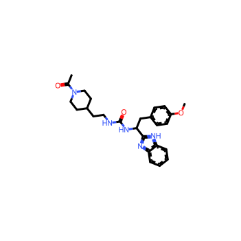 COc1ccc(CC(NC(=O)NCCC2CCN(C(C)=O)CC2)c2nc3ccccc3[nH]2)cc1